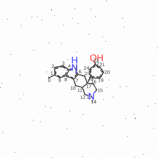 Cc1ccc2[nH]c3c(c2c1)CC1CN(C)CCC1(c1cccc(O)c1)C3